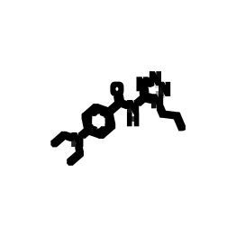 CCCn1nnnc1NC(=O)c1ccc(N(CC)CC)cc1